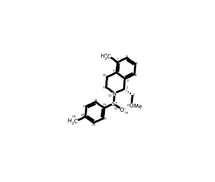 COC[C@H]1c2cccc(C)c2CCN1[S+]([O-])c1ccc(C)cc1